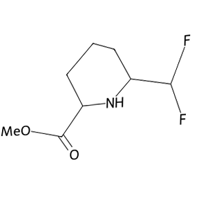 COC(=O)C1CCCC(C(F)F)N1